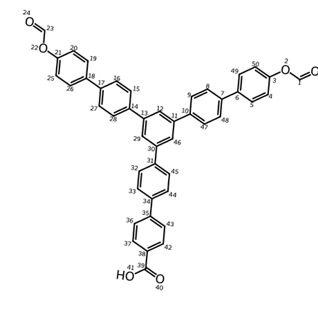 O=COc1ccc(-c2ccc(-c3cc(-c4ccc(-c5ccc(OC=O)cc5)cc4)cc(-c4ccc(-c5ccc(C(=O)O)cc5)cc4)c3)cc2)cc1